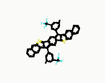 Cc1cc(C2=c3cc4c(cc3-c3sc5cc6ccccc6cc5c32)=C(c2cc(C)cc(C(F)(F)F)c2)c2c-4sc3cc4ccccc4cc23)cc(C(F)(F)F)c1